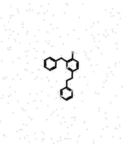 Brc1ccc(CCc2cnccn2)nc1Cc1ccccc1